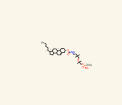 CC(C)CCC[C@@H](C)C1CCC2C3CC=C4C[C@@H](OC(=O)NCCC(C)(C)COC(C)(C)COP(=O)(O)OCC(C)C)CC[C@]4(C)C3CC[C@@]21C